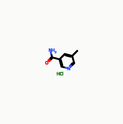 Cc1cncc(C(N)=O)c1.Cl